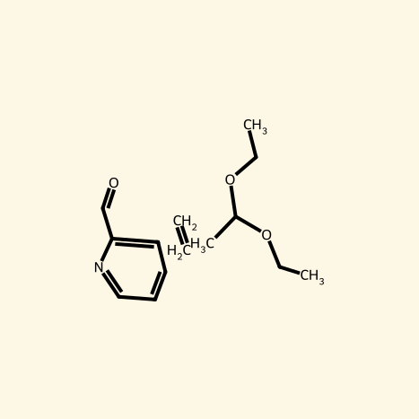 C=C.CCOC(C)OCC.O=Cc1ccccn1